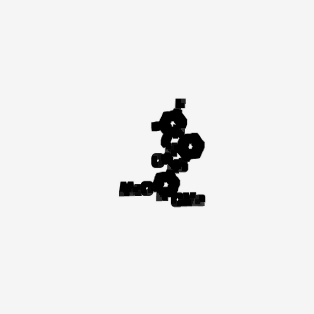 COc1cc(N2Sc3ccccc3N(Cc3ncc(F)cc3C)C2=O)cc(OC)n1